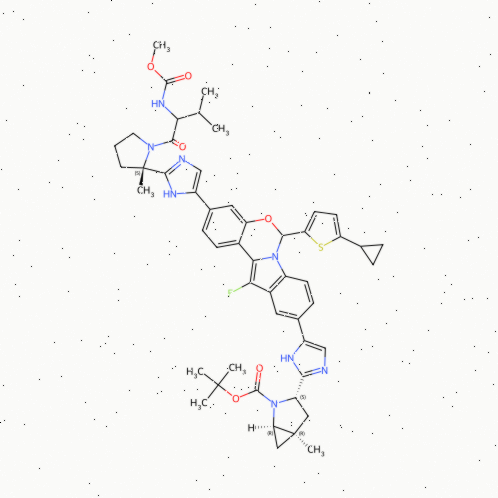 COC(=O)NC(C(=O)N1CCC[C@@]1(C)c1ncc(-c2ccc3c(c2)OC(c2ccc(C4CC4)s2)n2c-3c(F)c3cc(-c4cnc([C@@H]5C[C@@]6(C)C[C@H]6N5C(=O)OC(C)(C)C)[nH]4)ccc32)[nH]1)C(C)C